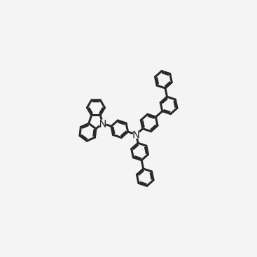 c1ccc(-c2ccc(N(c3ccc(-c4cccc(-c5ccccc5)c4)cc3)c3ccc(-n4c5ccccc5c5ccccc54)cc3)cc2)cc1